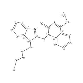 COc1cc(=O)n(Cc2nc3ccccc3n2CCCCF)c2ccccc12